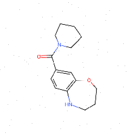 O=C(c1ccc2c(c1)OCCCN2)N1CCCCC1